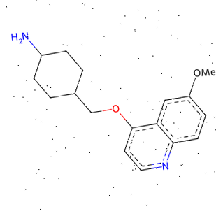 COc1ccc2nccc(OCC3CCC(N)CC3)c2c1